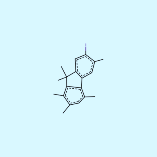 Cc1cc2c(cc1I)C(C)(C)c1c(C)c(C)cc(C)c1-2